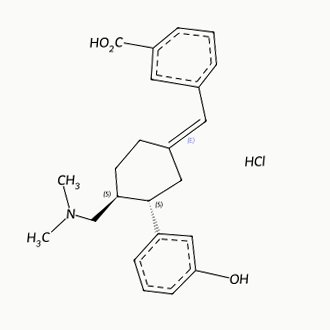 CN(C)C[C@H]1CC/C(=C\c2cccc(C(=O)O)c2)C[C@@H]1c1cccc(O)c1.Cl